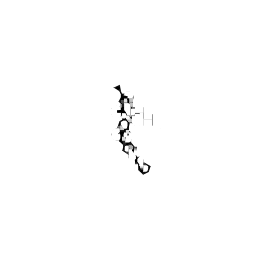 C[C@H]1CN(S(=O)(=O)CC2CCN(CCN3CCCCC3)CC2)CC[C@H]1NC(=O)c1cc(C2CC2)on1